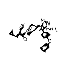 N#CC(=CC1CC1)C(=O)N1CCC(Cn2nc(-c3ccc(Oc4ccccc4)cc3)c3c(N)ncnc32)CC1